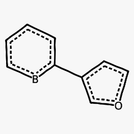 b1ccccc1-c1ccoc1